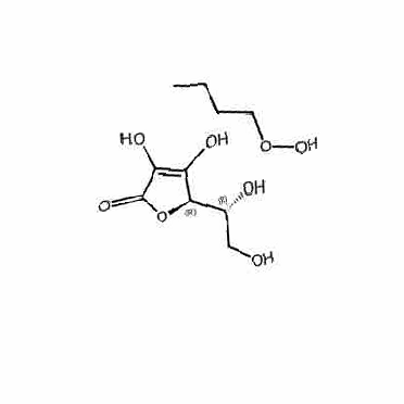 CCCCOO.O=C1O[C@H]([C@H](O)CO)C(O)=C1O